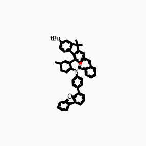 CC1C=C(c2cccc3c2-c2ccc(C(C)(C)C)cc2C3(C)C)C(N(c2ccc(-c3cccc4c3oc3ccccc34)cc2)c2cccc3ccccc23)=CC1